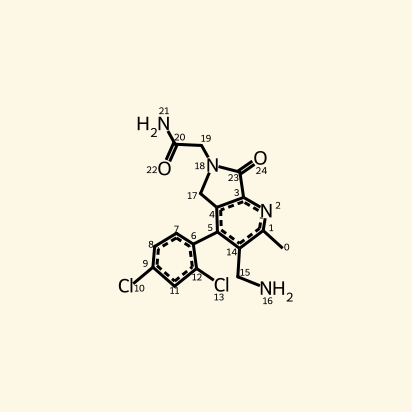 Cc1nc2c(c(-c3ccc(Cl)cc3Cl)c1CN)CN(CC(N)=O)C2=O